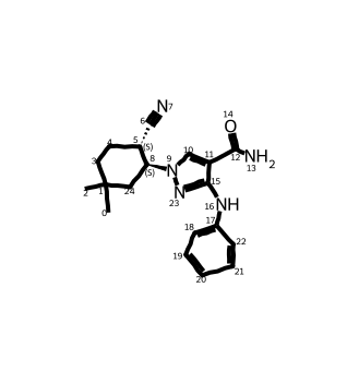 CC1(C)CC[C@H](C#N)[C@@H](n2cc(C(N)=O)c(Nc3ccccc3)n2)C1